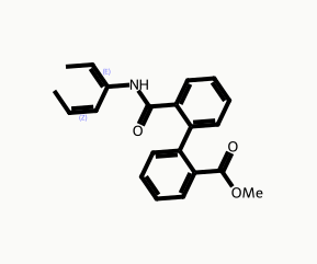 C/C=C\C(=C/C)NC(=O)c1ccccc1-c1ccccc1C(=O)OC